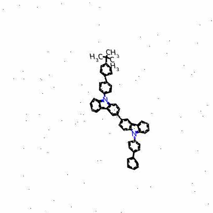 CC(C)(C)c1ccc(-c2ccc(-n3c4ccccc4c4cc(-c5ccc6c(c5)c5ccccc5n6-c5ccc(-c6ccccc6)cc5)ccc43)cc2)cc1